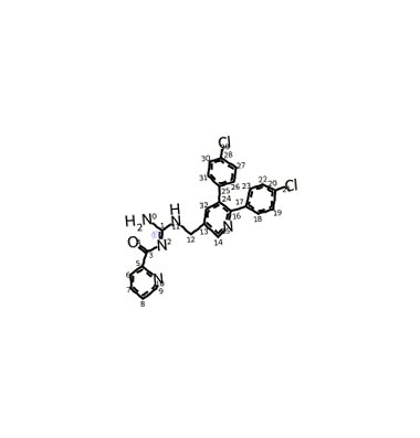 N/C(=N\C(=O)c1ccccn1)NCc1cnc(-c2ccc(Cl)cc2)c(-c2ccc(Cl)cc2)c1